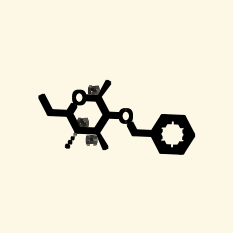 CCC1O[C@@H](C)C(OCc2ccccc2)[C@@H](C)[C@@H]1C